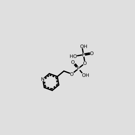 O=P(O)(O)OP(=O)(O)OCc1cccnc1